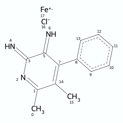 CC1=NC(=N)C(=N)C(c2ccccc2)=C1C.[Cl-].[Fe+]